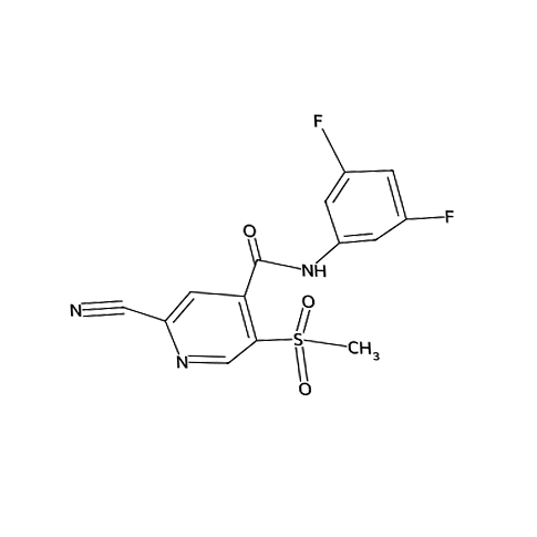 CS(=O)(=O)c1cnc(C#N)cc1C(=O)Nc1cc(F)cc(F)c1